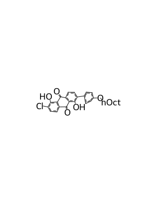 CCCCCCCCOc1ccc(-c2ccc3c(c2O)C(=O)c2ccc(Cl)c(O)c2C3=O)cc1